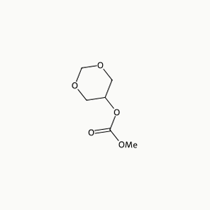 [CH2]OC(=O)OC1COCOC1